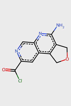 Nc1nc2cnc(C(=O)Cl)cc2c2c1COC2